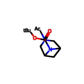 CC(=O)N1CC2CC(C1)N2C(=O)OC(C)(C)C